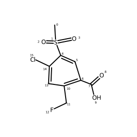 CS(=O)(=O)c1cc(C(=O)O)c(CF)cc1Cl